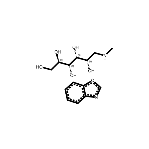 CNC[C@H](O)[C@@H](O)[C@H](O)[C@H](O)CO.c1ccc2ocnc2c1